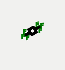 FC(F)(F)C1[CH]CC(C(F)(F)F)[CH]C1